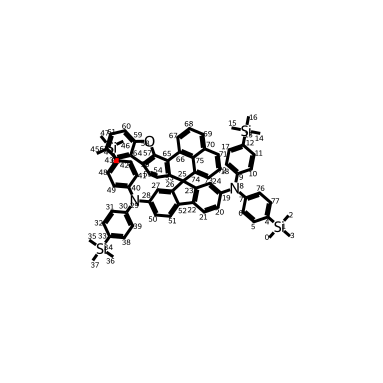 C[Si](C)(C)c1ccc(N(c2ccc([Si](C)(C)C)cc2)c2ccc3c(c2)C2(c4cc(N(c5ccc([Si](C)(C)C)cc5)c5ccc([Si](C)(C)C)cc5)ccc4-3)c3ccc4c(oc5ccccc54)c3-c3cccc4cccc2c34)cc1